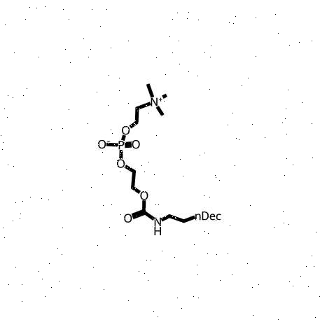 CCCCCCCCCCCCNC(=O)OCCOP(=O)([O-])OCC[N+](C)(C)C